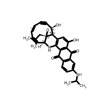 CC(C)C[C@@]12O[C@]13c1cc(O)c4c(c1N[C@H]2C#C/C=C\C#C[C@H]3O)C(=O)c1ccc(NC(C)C)cc1C4=O